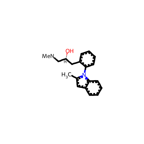 CNC[C@H](O)Cc1ccccc1-n1c(C)cc2ccccc21